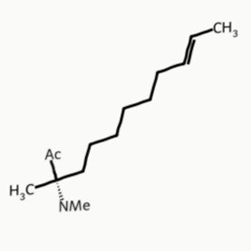 CC=CCCCCCC[C@](C)(NC)C(C)=O